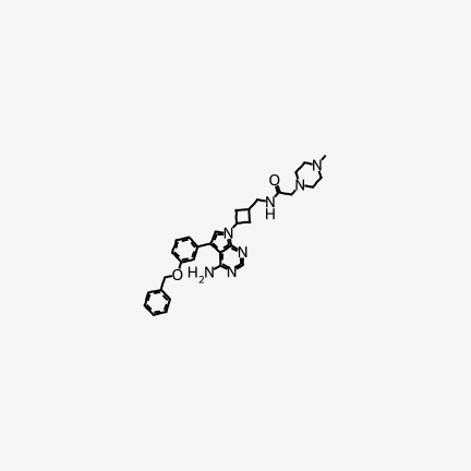 CN1CCN(CC(=O)NCC2CC(n3cc(-c4cccc(OCc5ccccc5)c4)c4c(N)ncnc43)C2)CC1